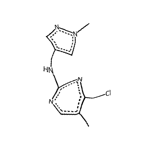 Cc1cnc(Nc2cnn(C)c2)nc1Cl